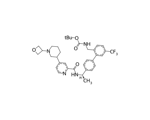 C[C@@H](NC(=O)c1cc(C2CCCN(C3COC3)C2)ccn1)c1ccc(-c2cc(C(F)(F)F)ccc2CNC(=O)OC(C)(C)C)cc1